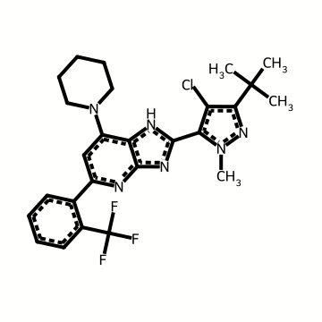 Cn1nc(C(C)(C)C)c(Cl)c1-c1nc2nc(-c3ccccc3C(F)(F)F)cc(N3CCCCC3)c2[nH]1